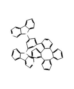 c1ccc2c(c1)-c1ccccc1-c1cccc(-c3cc(-n4c5ccccc5c5ccncc54)cc(-n4c5ccccc5c5ccncc54)c3)c1-c1ccccc1-2